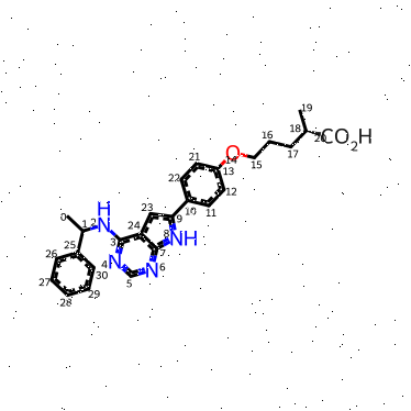 CC(Nc1ncnc2[nH]c(-c3ccc(OCCC[C@@H](C)C(=O)O)cc3)cc12)c1ccccc1